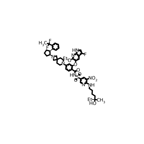 CCOc1nc2[nH]cc(F)c2cc1Oc1cc(N2CCC3(CC2)CN([C@H]2CCC[C@H]2c2ccccc2C(C)(F)F)C3)ccc1C(=O)NS(=O)(=O)c1cnc(NCCCC[C@](C)(O)CC)c([N+](=O)[O-])c1